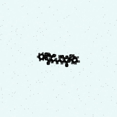 CC1(c2ccccc2)OC(=O)C(=CC=CC=CC2C(=O)OC(C)(c3ccccc3)OC2O)C(=O)O1